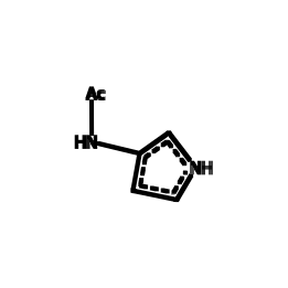 CC(=O)Nc1cc[nH]c1